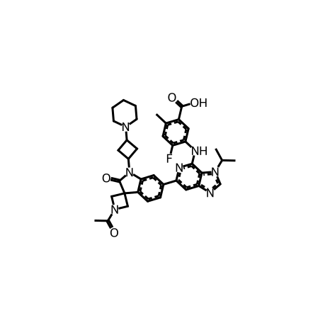 CC(=O)N1CC2(C1)C(=O)N(C1CC(N3CCCCC3)C1)c1cc(-c3cc4ncn(C(C)C)c4c(Nc4cc(C(=O)O)c(C)cc4F)n3)ccc12